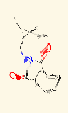 CC1C(CN2C(=O)c3ccccc3C2=O)C1(C)C